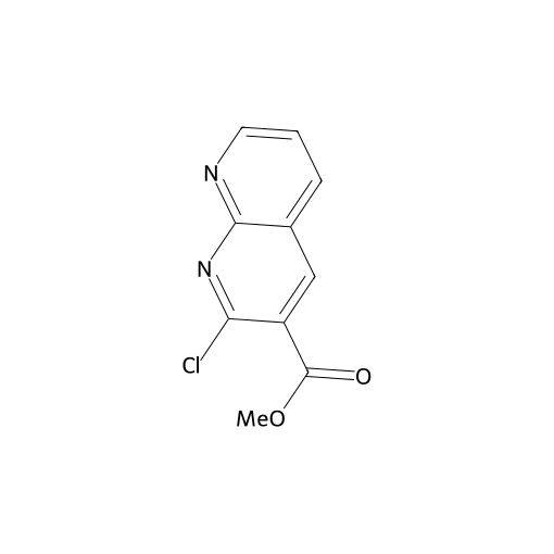 COC(=O)c1cc2cccnc2nc1Cl